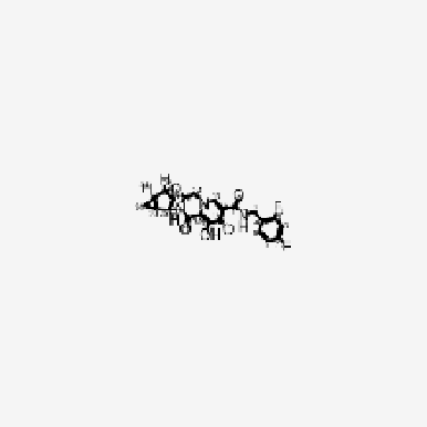 O=C(NCc1ccc(F)cc1F)c1cn2c(c(O)c1=O)C(=O)N1C(C2)O[C@@H]2C[C@H]1C1C[C@H]12